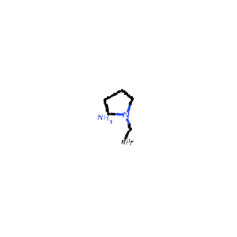 CCCCN1CCCC1.N